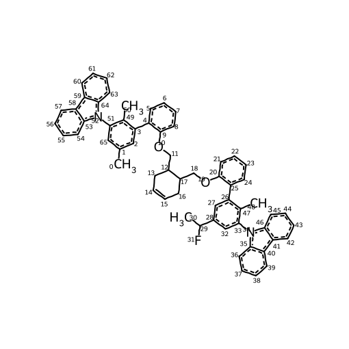 Cc1cc(-c2ccccc2OCC2CC=CCC2COc2ccccc2-c2cc(C(C)F)cc(-n3c4ccccc4c4ccccc43)c2C)c(C)c(-n2c3ccccc3c3ccccc32)c1